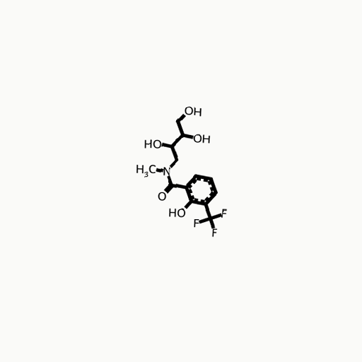 CN(CC(O)C(O)CO)C(=O)c1cccc(C(F)(F)F)c1O